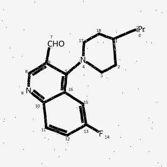 CC(C)C1CCN(c2c(C=O)cnc3ccc(F)cc23)CC1